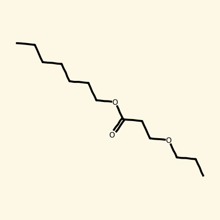 CCCCCCCOC(=O)CCOCCC